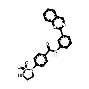 O=C(Nc1cccc(-c2ncc3ccccc3n2)c1)c1ccc(N2CCNS2(=O)=O)cc1